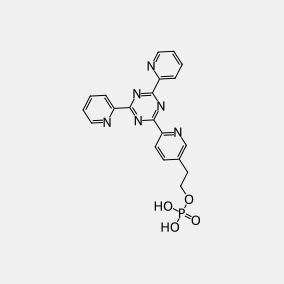 O=P(O)(O)OCCc1ccc(-c2nc(-c3ccccn3)nc(-c3ccccn3)n2)nc1